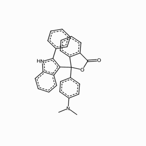 CN(C)c1ccc(C2(c3c(-c4ccccc4)[nH]c4ccccc34)OC(=O)c3ccccc32)cc1